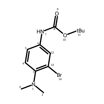 CN(C)c1ccc(NC(=O)OC(C)(C)C)cc1Br